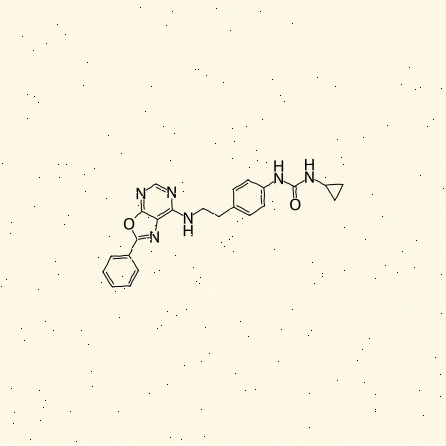 O=C(Nc1ccc(CCNc2ncnc3oc(-c4ccccc4)nc23)cc1)NC1CC1